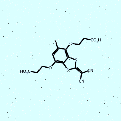 Cc1cc(OCCC(=O)O)c2c(c1OCCC(=O)O)SC(=C(C#N)C#N)S2